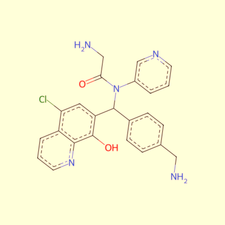 NCC(=O)N(c1cccnc1)C(c1ccc(CN)cc1)c1cc(Cl)c2cccnc2c1O